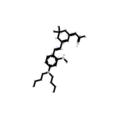 CCCCN(CCCC)c1ccc(/C=C/C2=CC(=C\C(C)=O)/CC(C)(C)C2)c(OC)c1